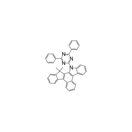 CC1(C)c2ccccc2-c2c1c1c(c3ccccc23)c2ccccc2n1-c1nc(-c2ccccc2)nc(-c2ccccc2)n1